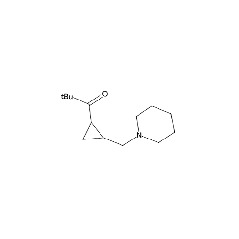 CC(C)(C)C(=O)C1CC1CN1CCCCC1